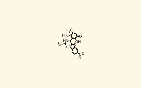 CC(=S)NC(c1nc2ccc([N+](=O)[O-])cc2s1)c1c(O)c(=O)cc(C)n1C